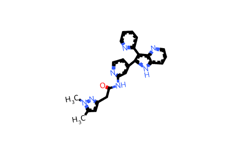 Cc1cc(CC(=O)Nc2cc(-c3[nH]c4cccnc4c3-c3ccccn3)ccn2)nn1C